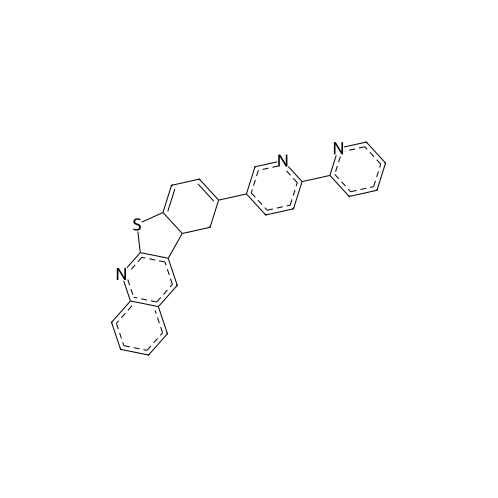 C1=C(c2ccc(-c3ccccn3)nc2)CC2C(=C1)Sc1nc3ccccc3cc12